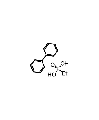 CCP(=O)(O)O.c1ccc(-c2ccccc2)cc1